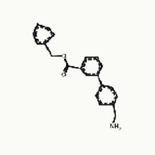 NCc1ccc(-c2cccc(C(=O)OCc3ccccc3)c2)cc1